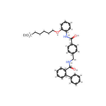 CCOC(=O)CCCCCOc1ccccc1NC(=O)c1ccc(CNC(=O)c2ccccc2-c2ccccc2)cc1